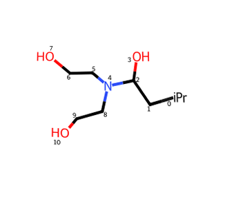 CC(C)CC(O)N(CCO)CCO